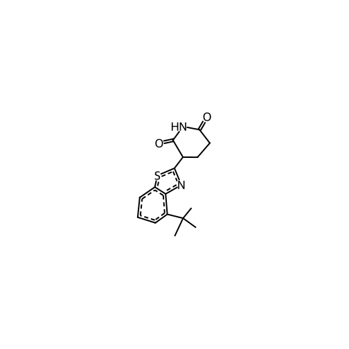 CC(C)(C)c1cccc2sc(C3CCC(=O)NC3=O)nc12